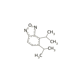 CC(C)c1ccc2nonc2c1C(C)C